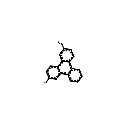 Fc1ccc2c(c1)c1ccccc1c1ccc(Cl)cc12